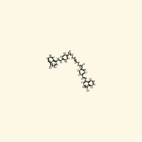 CN(CCSSCCN(C)c1ccc(/C=C/c2cc[n+](C)c3ccccc23)cc1)c1ccc(/C=C/C2=C3C=CC=C4C3[N+]4(C)C=C2)cc1